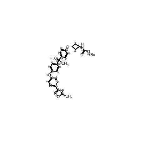 Cc1nc(-c2ncc(Oc3ccc(C(C)(C)c4ccc(O[C@H]5C[C@H](NC(=O)OC(C)(C)C)C5)cn4)cc3)cn2)no1